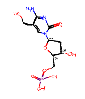 Nc1nc(=O)n([C@H]2C[C@H](O)[C@@H](COP(=O)(O)O)O2)cc1CO